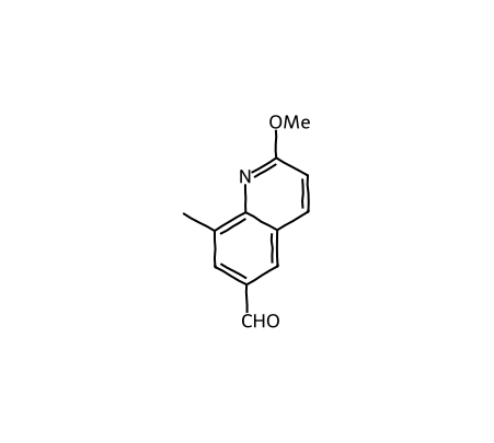 COc1ccc2cc(C=O)cc(C)c2n1